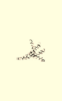 CCCCCCCC(CCCCCC)C(=O)O[C@@H]1CC2(CCN(CCCCO)CC2)C[C@H]1OC(=O)C(CCCCCC)CCCCCCC